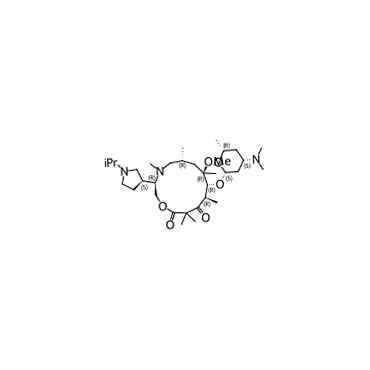 CO[C@]1(C)C[C@@H](C)CN(C)[C@H]([C@H]2CCN(C(C)C)C2)COC(=O)C(C)(C)C(=O)[C@H](C)[C@H]1O[C@H]1C[C@@H](N(C)C)C[C@@H](C)O1